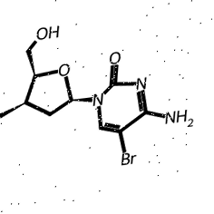 C[C@@H]1C[C@H](n2cc(Br)c(N)nc2=O)O[C@@H]1CO